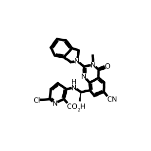 C[C@@H](Nc1ccc(Cl)nc1C(=O)O)c1cc(C#N)cc2c(=O)n(C)c(N3Cc4ccccc4C3)nc12